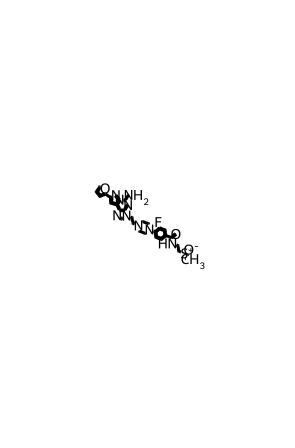 C[S@@+]([O-])CCNC(=O)c1ccc(N2CCN(CCn3cnc4c3nc(N)n3nc(-c5ccco5)cc43)CC2)c(F)c1